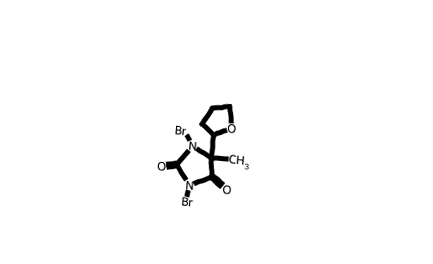 CC1(C2CCCO2)C(=O)N(Br)C(=O)N1Br